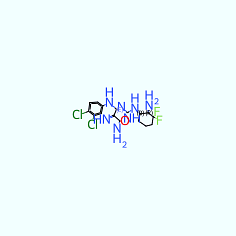 N=C(/N=C(/Nc1ccc(Cl)c(Cl)c1)C(=N)C(N)=O)N[C@@H]1CCCC(F)(F)[C@@H]1N